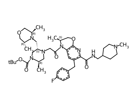 C[C@@H]1CN(CC(=O)N2c3cc(Cc4ccc(F)cc4)c(C(=O)NCC4CCN(C)CC4)nc3OC[C@@H]2C)[C@@H](CN2[C@H](C)COC[C@H]2C)CN1C(=O)OC(C)(C)C